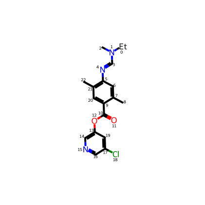 CCN(C)/C=N/c1cc(C)c(C(=O)Oc2cncc(Cl)c2)cc1C